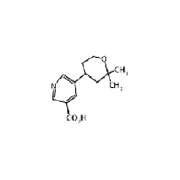 CC1(C)CC(c2cncc(C(=O)O)c2)CCO1